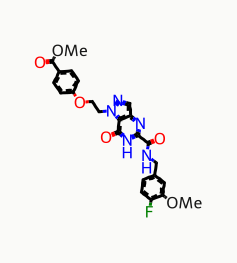 COC(=O)c1ccc(OCCn2ncc3nc(C(=O)NCc4ccc(F)c(OC)c4)[nH]c(=O)c32)cc1